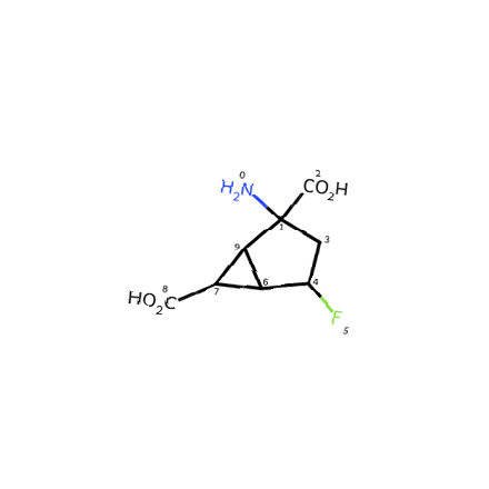 NC1(C(=O)O)CC(F)C2C(C(=O)O)C21